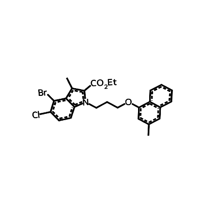 CCOC(=O)c1c(C)c2c(Br)c(Cl)ccc2n1CCCOc1cc(C)cc2ccccc12